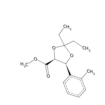 CCC1(CC)O[C@H](C(=O)OC)[C@H](c2ccccc2C)O1